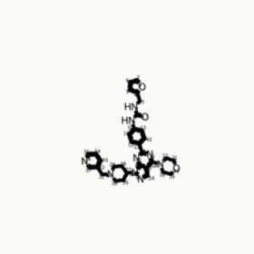 O=C(NCc1ccco1)Nc1ccc(-c2nc(N3CCOCC3)c3cnn(C4CCN(Cc5cccnc5)CC4)c3n2)cc1